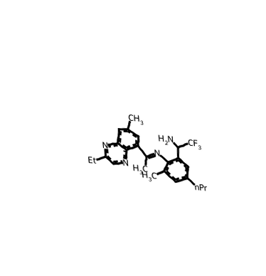 CCCc1cc(C)c(/N=C(\C)c2cc(C)cc3nc(CC)cnc23)c(C(N)C(F)(F)F)c1